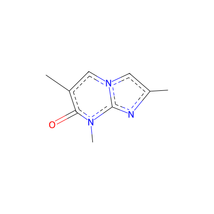 Cc1cn2cc(C)c(=O)n(C)c2n1